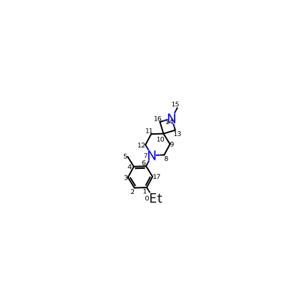 CCc1ccc(C)c(N2CCC3(CC2)CN(C)C3)c1